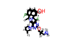 CCc1c(F)ccc2cc(O)cc(-c3ncc4c(N5CCCC(C)C5)nc(OCC(C)(C)CN(C)C)nc4c3F)c12